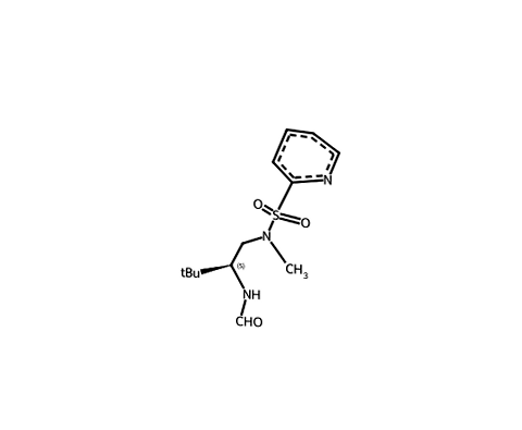 CN(C[C@@H](NC=O)C(C)(C)C)S(=O)(=O)c1ccccn1